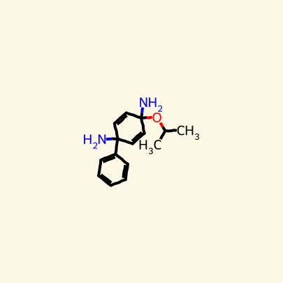 CC(C)OC1(N)C=CC(N)(c2ccccc2)C=C1